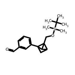 CC(C)(C)[Si](C)(C)OCC1C2CC1(c1cccc(C=O)c1)C2